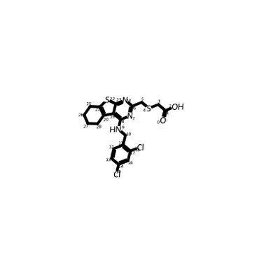 O=C(O)CSCc1nc(NCc2ccc(Cl)cc2Cl)c2c3c(sc2n1)CCCC3